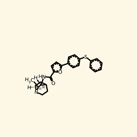 C[C@H]1[C@H](NC(=O)c2ccc(-c3ccc(Sc4ccccc4)cc3)o2)C2CCN1CC2